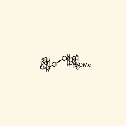 COC(=O)N[C@H](C(=O)N1CC2(CC2)C[C@H]1c1nc2ccc(C#Cc3ccc(-c4cnc([C@@H]5CCCN5C(=O)OC(C)(C)C)[nH]4)cc3)cc2[nH]1)C(C)C